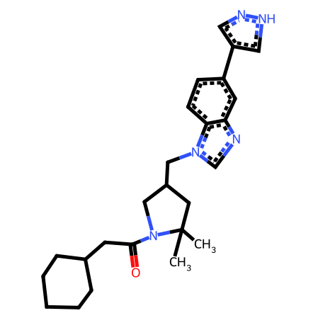 CC1(C)CC(Cn2cnc3cc(-c4cn[nH]c4)ccc32)CN1C(=O)CC1CCCCC1